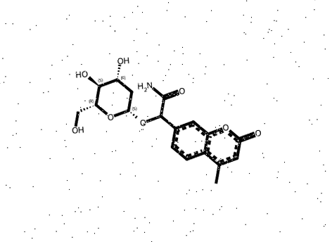 Cc1cc(=O)oc2cc(C(O[C@H]3C[C@@H](O)[C@H](O)[C@@H](CO)O3)C(N)=O)ccc12